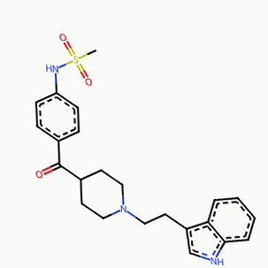 CS(=O)(=O)Nc1ccc(C(=O)C2CCN(CCc3c[nH]c4ccccc34)CC2)cc1